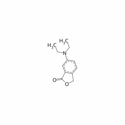 CCN(CC)c1ccc2c(c1)C(=O)OC2